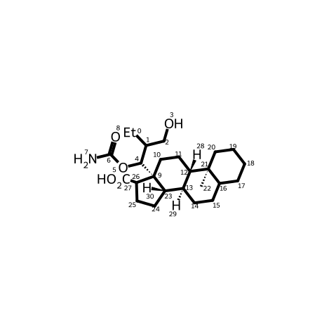 CCC(CO)C(OC(N)=O)[C@]12CC[C@H]3[C@@H](CCC4CCCC[C@@]43C)[C@@H]1CCC2C(=O)O